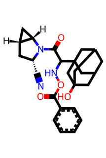 N#C[C@@H]1C[C@@H]2C[C@@H]2N1C(=O)C(NOC(=O)c1ccccc1)C12CC3CC(CC(O)(C3)C1)C2